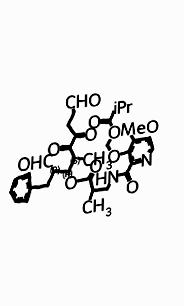 COc1ccnc(C(=O)NCC(C)C(=O)O[C@H]([C@H](C=O)Cc2ccccc2)[C@H](C)C(=O)C(=O)CCC=O)c1OCOC(=O)C(C)C